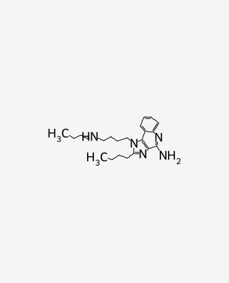 CCCCNCCCCn1c(CCCC)nc2c(N)nc3ccccc3c21